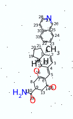 C[C@]12C=CC3=CC4=C(CC(C(N)=O)CC4=O)O[C@H]3[C@@H]1CC[C@@H]2c1ccc2cnccc2c1